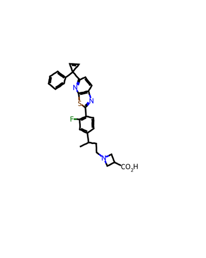 CC(CCN1CC(C(=O)O)C1)c1ccc(-c2nc3ccc(C4(c5ccccc5)C=C4)nc3s2)c(F)c1